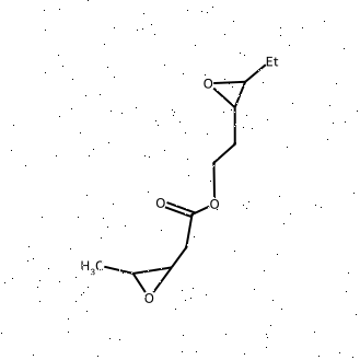 CCC1OC1CCOC(=O)CC1OC1C